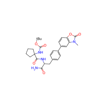 Cn1c(=O)oc2ccc(-c3ccc(CC(NC(=O)C4(NC(=O)OC(C)(C)C)CCCC4)C(N)=O)cc3)cc21